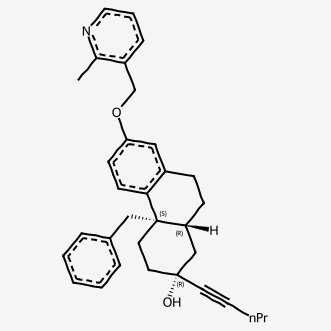 CCCC#C[C@@]1(O)CC[C@@]2(Cc3ccccc3)c3ccc(OCc4cccnc4C)cc3CC[C@@H]2C1